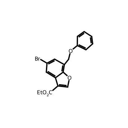 CCOC(=O)c1coc2c(COc3ccccc3)cc(Br)cc12